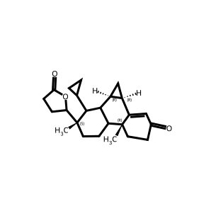 C[C@]1(C2CCC(=O)O2)CCC2C(C1C1CC1)[C@H]1C[C@H]1C1=CC(=O)CC[C@@]12C